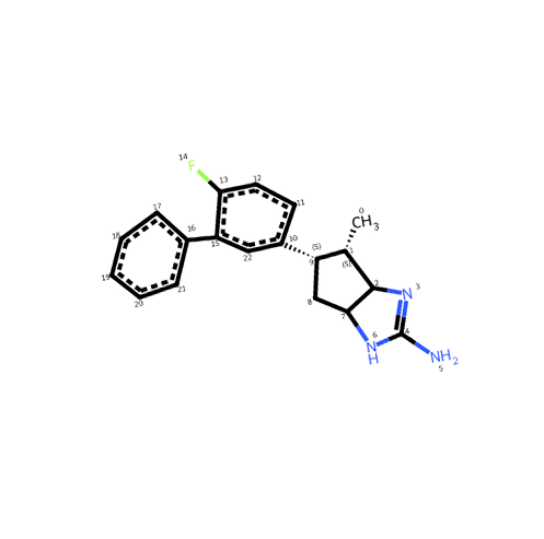 C[C@@H]1C2N=C(N)NC2C[C@@H]1c1ccc(F)c(-c2ccccc2)c1